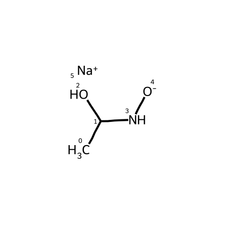 CC(O)N[O-].[Na+]